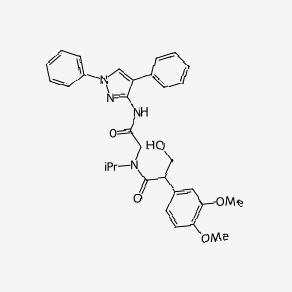 COc1ccc(C(CO)C(=O)N(CC(=O)Nc2nn(-c3ccccc3)cc2-c2ccccc2)C(C)C)cc1OC